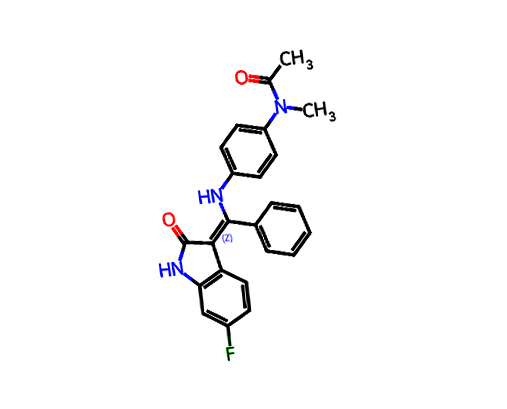 CC(=O)N(C)c1ccc(N/C(=C2\C(=O)Nc3cc(F)ccc32)c2ccccc2)cc1